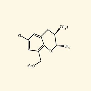 COCc1cc(Cl)cc2c1O[C@H](C(F)(F)F)[C@H](C(=O)O)C2